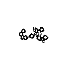 c1ccc2c(c1)ccc1ccc3ccc(-c4ccc(N(c5ccc6oc7ccccc7c6n5)c5cncc6c5oc5ccccc56)cc4)cc3c12